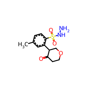 Cc1ccc(S(=O)(=O)NN)c(C2COCCC2=O)c1